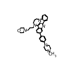 CN1CCN(c2ccc(-c3ccc4c5c6c(nc4c3)c3ccccc3n6CCCN5CCCN3CCOCC3)cc2)CC1